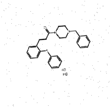 Cl.Cl.O=C(CCc1ccccc1Sc1ccccc1)N1CCN(Cc2ccccc2)CC1